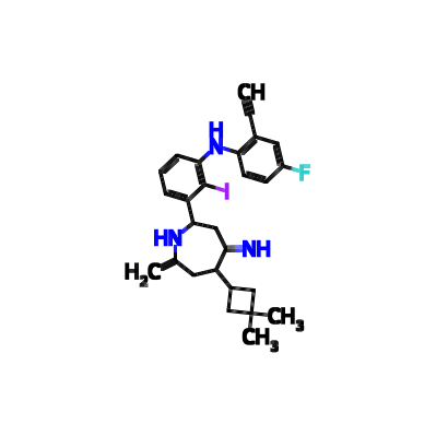 C#Cc1cc(F)ccc1Nc1cccc(C2CC(=N)C(C3CC(C)(C)C3)CC(=C)N2)c1I